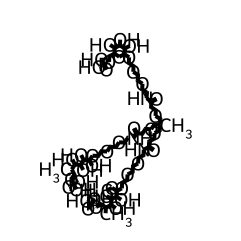 COC(OCCOCCOCCNC(=O)CCOCC(C)(COCCC(=O)NCCOCCOCCOC(O)C(O)C(O)C(O)C(C)COP(=O)(O)O)COCCC(=O)NCCOCCOCCOC1OC(COP(=O)(O)O)C(O)C(O)C1O)C(O)C(O)C(O)C(C)COP(=O)(O)O